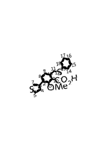 COc1c(-c2ccsc2)ccc(CSc2ccccc2)c1C(=O)O